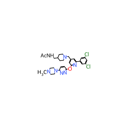 CC(=O)NCC1CCN(Cc2cc(Oc3ccc(N4CCN(C)CC4)nn3)nc(-c3cc(Cl)cc(Cl)c3)c2)CC1